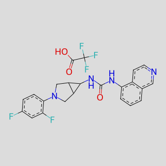 O=C(Nc1cccc2cnccc12)NC1C2CN(c3ccc(F)cc3F)CC21.O=C(O)C(F)(F)F